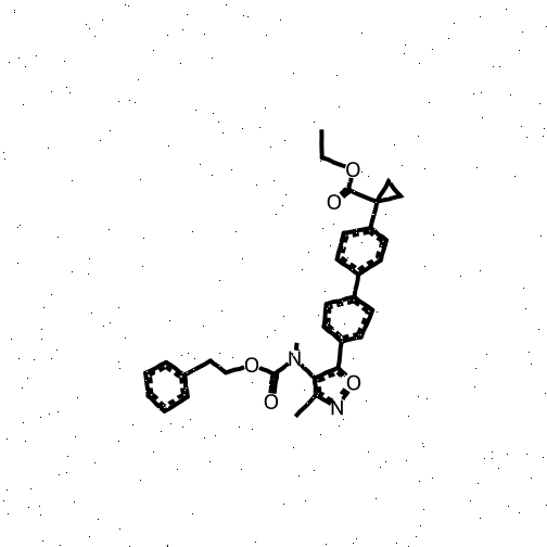 CCOC(=O)C1(c2ccc(-c3ccc(-c4onc(C)c4N(C)C(=O)OCCc4ccccc4)cc3)cc2)CC1